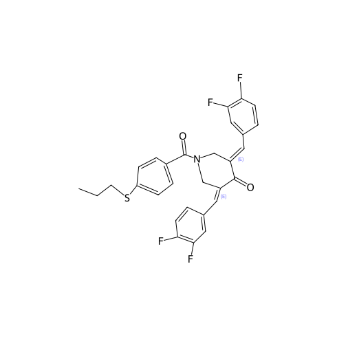 CCCSc1ccc(C(=O)N2C/C(=C\c3ccc(F)c(F)c3)C(=O)/C(=C/c3ccc(F)c(F)c3)C2)cc1